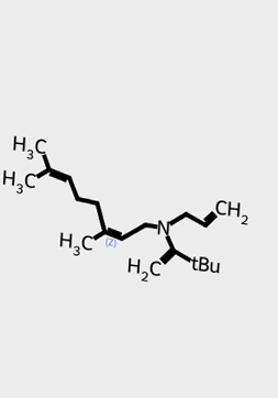 C=CCN(C/C=C(/C)CCC=C(C)C)C(=C)C(C)(C)C